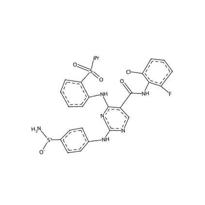 CC(C)S(=O)(=O)c1ccccc1Nc1nc(Nc2ccc([S+](N)[O-])cc2)ncc1C(=O)Nc1c(F)cccc1Cl